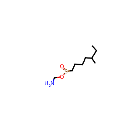 CCC(C)CCCCS(=O)OCN